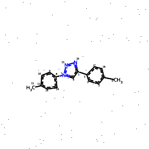 Cc1ccc(-c2cn(-c3ccc(C)cc3)nn2)cc1